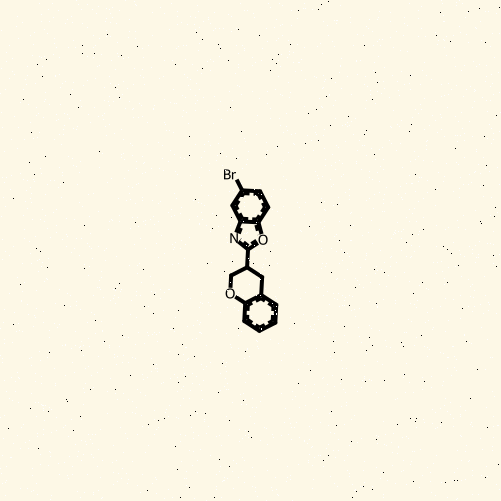 Brc1ccc2oc(C3COc4ccccc4C3)nc2c1